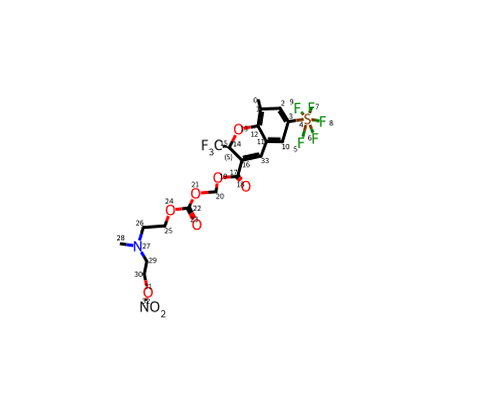 Cc1cc(S(F)(F)(F)(F)F)cc2c1O[C@H](C(F)(F)F)C(C(=O)OCOC(=O)OCCN(C)CCO[N+](=O)[O-])=C2